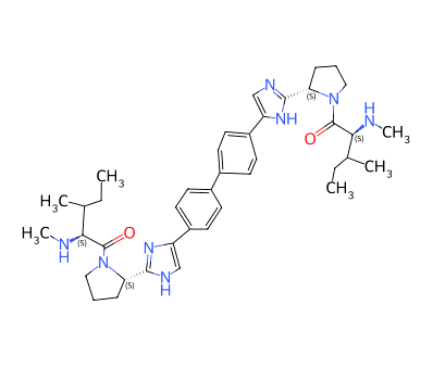 CCC(C)[C@H](NC)C(=O)N1CCC[C@H]1c1nc(-c2ccc(-c3ccc(-c4cnc([C@@H]5CCCN5C(=O)[C@@H](NC)C(C)CC)[nH]4)cc3)cc2)c[nH]1